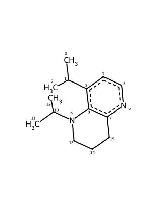 CC(C)c1ccnc2c1N(C(C)C)CCC2